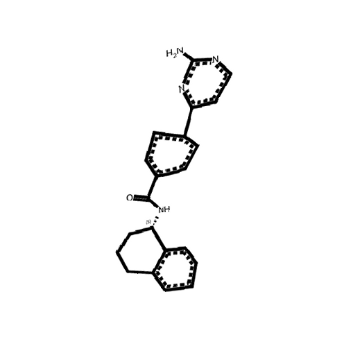 Nc1nccc(-c2ccc(C(=O)N[C@H]3CCCc4ccccc43)cc2)n1